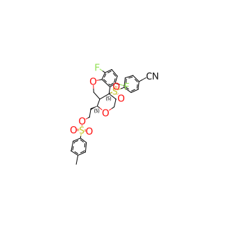 Cc1ccc(S(=O)(=O)OCC[C@@H]2OCC[C@@]3(S(=O)(=O)c4ccc(C#N)cc4)c4c(F)ccc(F)c4OCC23)cc1